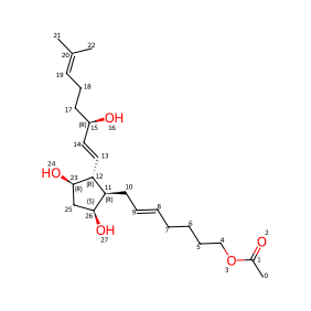 CC(=O)OCCCCC=CC[C@@H]1[C@@H](C=C[C@H](O)CCC=C(C)C)[C@H](O)C[C@@H]1O